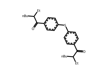 CCCCC(CC)C(=O)c1ccc(Sc2ccc(C(=O)C(CC)CCCC)cc2)cc1